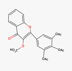 CC(=O)Oc1cc(-c2oc3ccccc3c(=O)c2OC(=O)O)cc(OC(C)=O)c1OC(C)=O